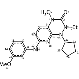 CCN1C(=O)N(C)c2cnc(Nc3cccc(OC)c3)nc2N1C1CCCC1